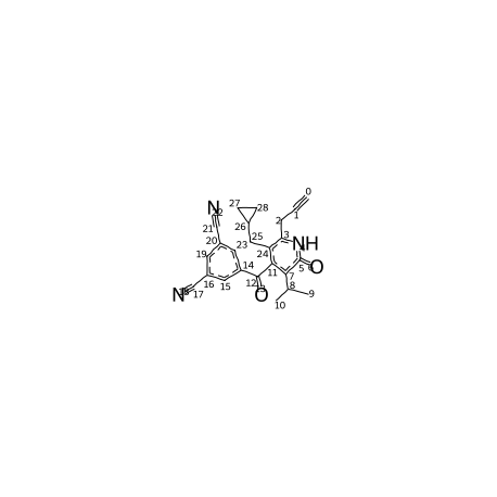 C#CCc1[nH]c(=O)c(C(C)C)c(C(=O)c2cc(C#N)cc(C#N)c2)c1CC1CC1